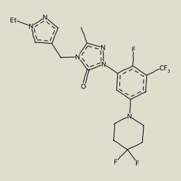 CCn1cc(Cn2c(C)nn(-c3cc(N4CCC(F)(F)CC4)cc(C(F)(F)F)c3F)c2=O)cn1